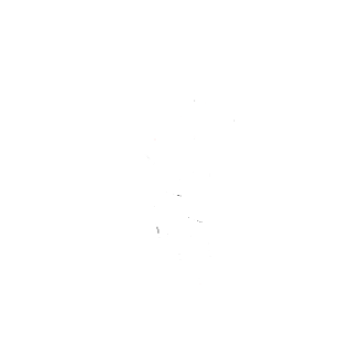 C=C1C[C@H]2[C@@H]3C=CC4=CC(=O)C=C(O)[C@]4(C)[C@H]3CC[C@]2(C)[C@]1(OC(=O)CC)C(=O)COC(=O)CC